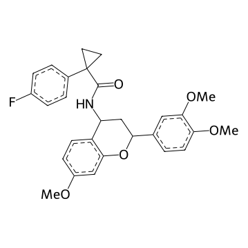 COc1ccc2c(c1)OC(c1ccc(OC)c(OC)c1)CC2NC(=O)C1(c2ccc(F)cc2)CC1